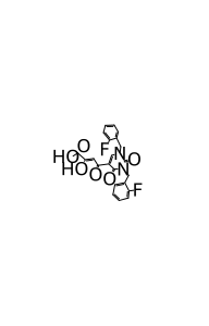 O=C(O)/C(O)=C/C(=O)c1cn(Cc2ccccc2F)c(=O)n(Cc2ccccc2F)c1=O